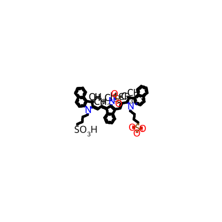 CN(C1=C(/C=C/C2=[N+](CCCCS(=O)(=O)[O-])c3ccc4ccccc4c3C2(C)C)c2ccccc2/C1=C\C=C1\N(CCCCS(=O)(=O)O)c2ccc3ccccc3c2C1(C)C)S(=O)(=O)C(F)(F)F